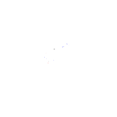 CCCCn1c(=O)n(C2CC2)c(=O)c2c(C)c(/C=N/NC)sc21